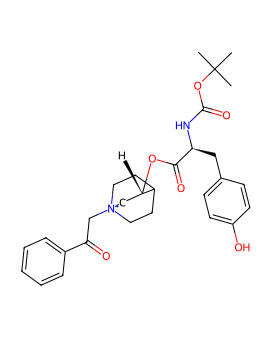 CC(C)(C)OC(=O)N[C@@H](Cc1ccc(O)cc1)C(=O)O[C@H]1C[N+]2(CC(=O)c3ccccc3)CCC1CC2